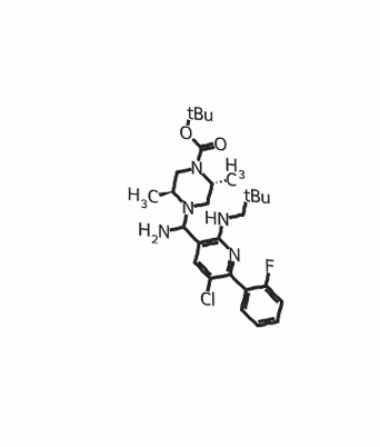 C[C@@H]1CN(C(N)c2cc(Cl)c(-c3ccccc3F)nc2NCC(C)(C)C)[C@@H](C)CN1C(=O)OC(C)(C)C